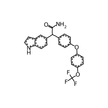 NC(=O)C(c1ccc(Oc2ccc(OC(F)(F)F)cc2)cc1)c1ccc2[nH]ccc2c1